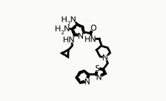 Nc1cc(C(=O)NCC2CCN(Cc3cnc(-c4ccccn4)s3)CC2)nc(NCC2CC2)c1N